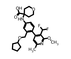 COc1nc(C)cc(-c2ccc(NC3(C(=O)O)CCOCC3)cc2COC2CCCC2)c1C(F)F